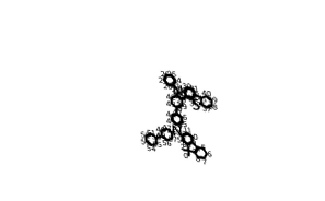 CC1(C)C2=C(CCC=C2)c2ccc(N(c3ccc(C4=Cc5c(n(-c6ccccc6)c6ccc7c(c56)SC5C=CC=CC75)CC4)cc3)C3C=CC(C4C=CC=CC4)=CC3)cc21